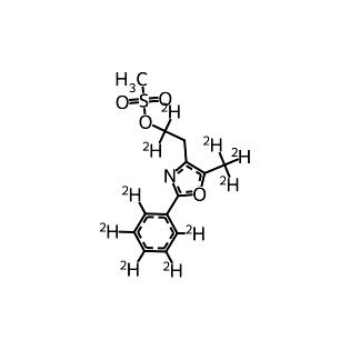 [2H]c1c([2H])c([2H])c(-c2nc(CC([2H])([2H])OS(C)(=O)=O)c(C([2H])([2H])[2H])o2)c([2H])c1[2H]